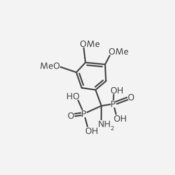 COc1cc(C(N)(P(=O)(O)O)P(=O)(O)O)cc(OC)c1OC